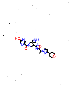 CC(c1nc(C2CN(C(=O)c3cnc(O)cn3)CC23CNC3)no1)n1ccc(C2CCOCC2)n1